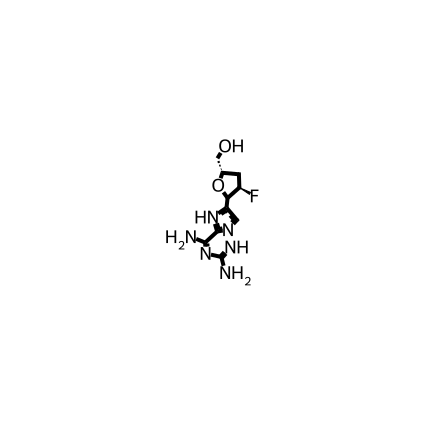 N=C(N)/N=C(/N)c1ncc(C2O[C@H](CO)C[C@H]2F)[nH]1